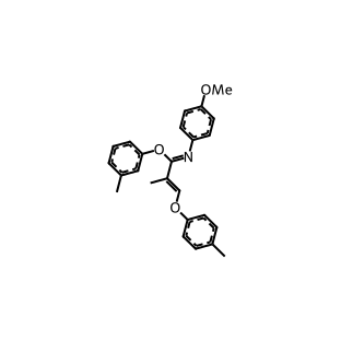 COc1ccc(N=C(Oc2cccc(C)c2)C(C)=COc2ccc(C)cc2)cc1